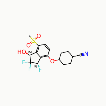 CS(=O)(=O)c1ccc(OC2CCC(C#N)CC2)c2c1[C@H](O)C(F)(F)[C@@H]2F